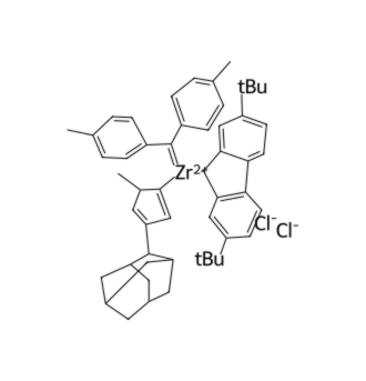 Cc1ccc([C](c2ccc(C)cc2)=[Zr+2]([C]2=CC(C3C4CC5CC(C4)CC3C5)=CC2C)[CH]2c3cc(C(C)(C)C)ccc3-c3ccc(C(C)(C)C)cc32)cc1.[Cl-].[Cl-]